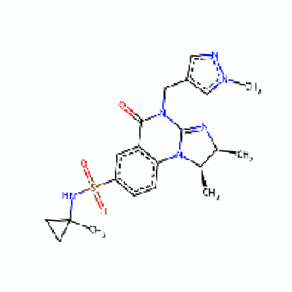 C[C@@H]1N=C2N(Cc3cnn(C)c3)C(=O)c3cc(S(=O)(=O)NC4(C)CC4)ccc3N2[C@@H]1C